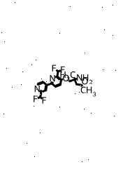 CC(=O)CC(C)(N)COc1ccc(-c2ccnc(C(F)F)c2)nc1C(F)F